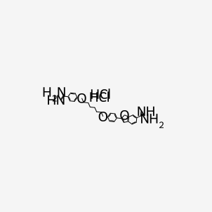 Cl.Cl.N=C(N)c1ccc(OCCCCCCOc2ccc(-c3cc4ccc(C(=N)N)cc4o3)cc2)cc1